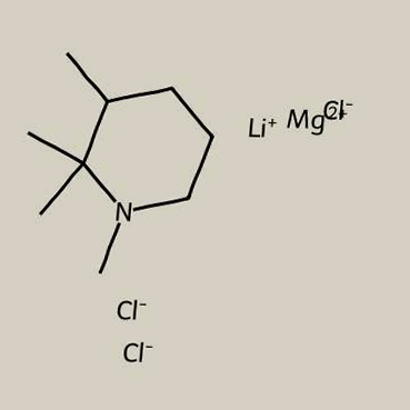 CC1CCCN(C)C1(C)C.[Cl-].[Cl-].[Cl-].[Li+].[Mg+2]